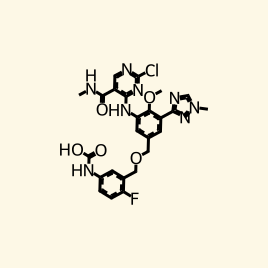 CNC(=O)c1cnc(Cl)nc1Nc1cc(COCc2cc(NC(=O)O)ccc2F)cc(-c2ncn(C)n2)c1OC